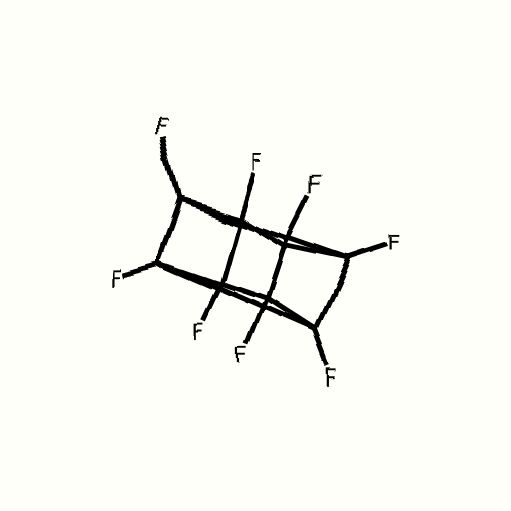 FC12C3(F)C4(F)C1(F)C1(F)C2(F)C3(F)C41F